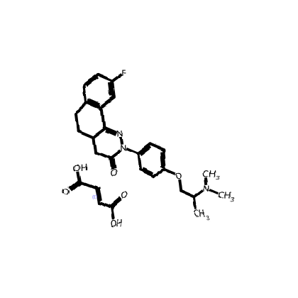 CC(COc1ccc(N2N=C3c4cc(F)ccc4CCC3CC2=O)cc1)N(C)C.O=C(O)/C=C/C(=O)O